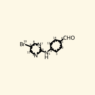 O=Cc1ccc(Nc2ncc(Br)cn2)cc1